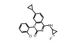 O=c1nc(NC2C[C@@H]2F)c2ccc(C3CC3)cc2n1-c1ccccc1Cl